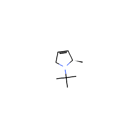 C[C@@H]1C=CCN1C(C)(C)C